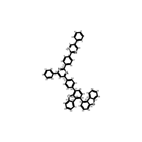 c1ccc(-c2cnc(-c3ccc(-c4nc(-c5ccccc5)cc(-c5ccc(-c6ccc(-c7cccc8sc9ccccc9c78)c7c6oc6ccccc67)cc5)n4)cc3)nc2)cc1